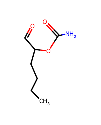 CCCCC(C=O)OC(N)=O